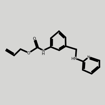 C=CCOC(=O)Nc1cccc(CNc2ccccn2)c1